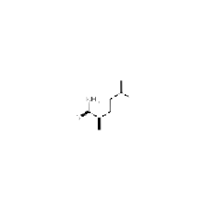 C=C(CCC(C)Cl)C(N)=O